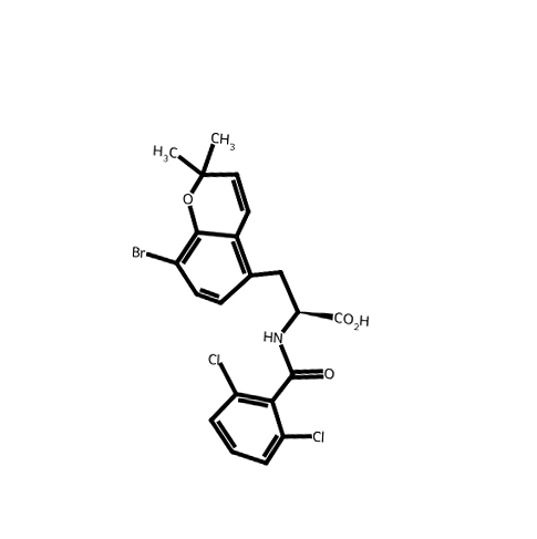 CC1(C)C=Cc2c(C[C@H](NC(=O)c3c(Cl)cccc3Cl)C(=O)O)ccc(Br)c2O1